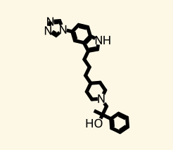 CC(O)(CN1CCC(CCCc2c[nH]c3ccc(-n4cnnc4)cc23)CC1)c1ccccc1